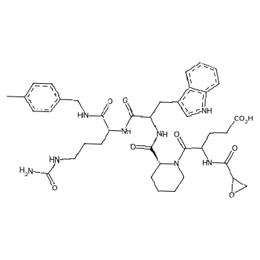 Cc1ccc(CNC(=O)C(CCCNC(N)=O)NC(=O)C(Cc2c[nH]c3ccccc23)NC(=O)[C@@H]2CCCCN2C(=O)C(CCC(=O)O)NC(=O)C2CO2)cc1